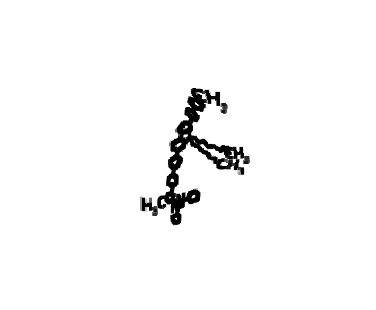 CCCCCCCCC1(CCCCCCCC)c2cc(-c3ccc(-c4ccc(C)cc4)cc3)ccc2-c2ccc(-c3ccc(-c4ccc(-c5cc(C)cc(-c6nc(-c7ccccc7)cc(-c7ccccc7)n6)c5)cc4)cc3)cc21